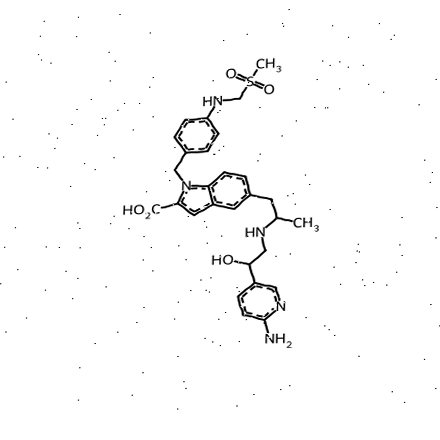 CC(Cc1ccc2c(c1)cc(C(=O)O)n2Cc1ccc(NCS(C)(=O)=O)cc1)NCC(O)c1ccc(N)nc1